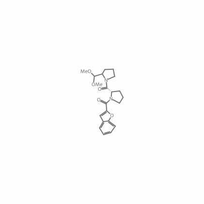 COC(OC)C1CCCN1C(=O)[C@@H]1CCCN1C(=O)c1cc2ccccc2o1